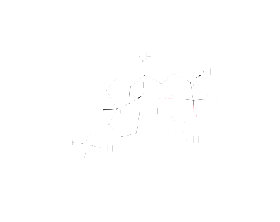 C[C@H](C(O)C[C@@H](C)C(C)(C)O[Si](C)(C)C)[C@H]1CC[C@H]2[C@@H](O[Si](C)(C)C(C)(C)C)CCC[C@@]12C